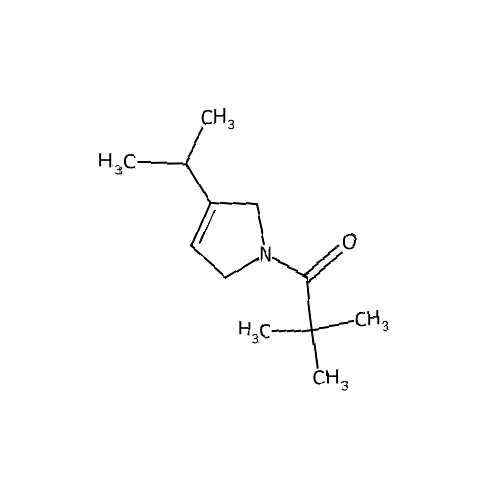 CC(C)C1=CCN(C(=O)C(C)(C)C)C1